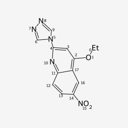 CCOc1cc(-n2cnnc2)nc2ccc([N+](=O)[O-])cc12